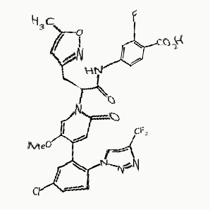 COc1cn([C@@H](Cc2cc(C)on2)C(=O)Nc2ccc(C(=O)O)c(F)c2)c(=O)cc1-c1cc(Cl)ccc1-n1cc(C(F)(F)F)nn1